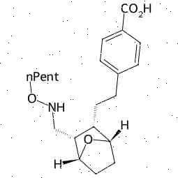 CCCCCONC[C@@H]1[C@H](CCc2ccc(C(=O)O)cc2)[C@@H]2CC[C@H]1O2